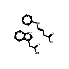 O=C(O)C/C=C/Nc1ccccc1.O=C(O)Cc1c[nH]c2ccccc12